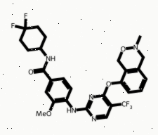 COc1cc(C(=O)NC2CCC(F)(F)CC2)ccc1Nc1ncc(C(F)(F)F)c(Oc2cccc3c2CON(C)C3)n1